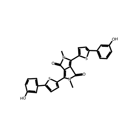 CN1C(=O)C2=C(c3ccc(-c4cccc(O)c4)s3)N(C)C(=O)C2=C1c1ccc(-c2cccc(O)c2)s1